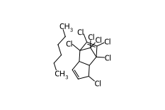 CCCCCC.ClC1=C(Cl)C2(Cl)C3C(Cl)C=CC3C1(Cl)C2(Cl)Cl